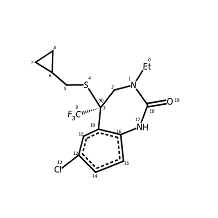 CCN1C[C@@](SCC2CC2)(C(F)(F)F)c2cc(Cl)ccc2NC1=O